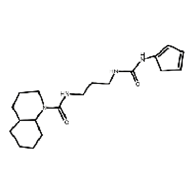 O=C(NCCCNC(=O)N1CCCC2CCCCC21)NC1=CC=CC1